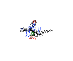 CN/C=C\C(=N)c1ccc(CO)c(-c2nc(N3CCOCC3)nc(Nc3ccncc3)c2Cl)c1